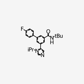 CC(C)n1cncc1-c1cc(C(=O)NC(C)(C)C)cc(-c2ccc(F)cc2)c1